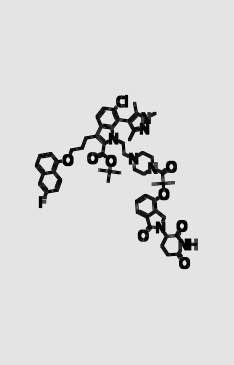 Cc1nn(C)c(C)c1-c1c(Cl)ccc2c(CCCOc3cccc4cc(F)ccc34)c(C(=O)OC(C)(C)C)n(CCN3CCN(C(=O)C(C)(C)Oc4cccc5c4CN(C4CCC(=O)NC4=O)C5=O)CC3)c12